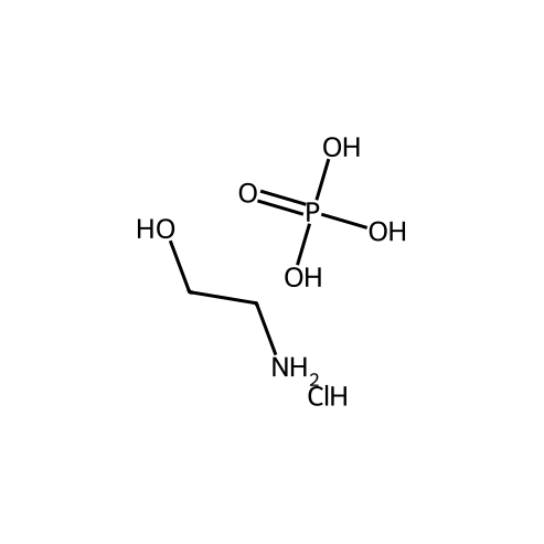 Cl.NCCO.O=P(O)(O)O